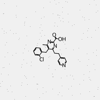 Cc1nc(C(=O)O)nc(CCc2ccncc2)c1Cc1ccccc1Cl